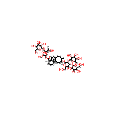 C=C1CCC2CCC3[C@](C)(C(=O)OC(OC(COC4OC(CO)C(O)C(O)C4O)C(C)O)C(O)O)CCC[C@@]3(C)[C@@H]2CCC1(C)OC1OC(CO)C(O)C(OC2OC(CO)C(O)C(O)C2O)C1OC1OC(CO)C(O)C(O)C1O